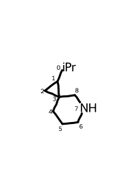 CC(C)C1CC12CCCNC2